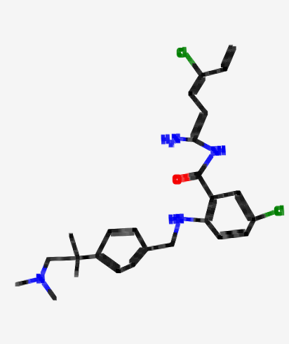 C=C/C(Cl)=C\C=C(/N)NC(=O)c1cc(Cl)ccc1NCc1ccc(C(C)(C)CN(C)C)cc1